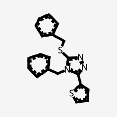 c1ccc(CSc2nnc(-c3cccs3)n2Cc2ccccc2)cc1